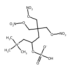 C[N+](C)(C)CC(CC(CO[N+](=O)[O-])(CO[N+](=O)[O-])CO[N+](=O)[O-])OP(=O)([O-])O